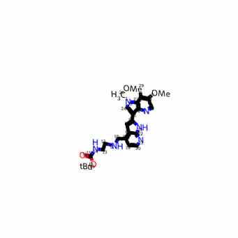 COc1cnc2c(-c3cc4c(CNCCNC(=O)OC(C)(C)C)ccnc4[nH]3)cn(C)c2c1OC